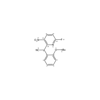 CCCCOc1ccccc1C(C#N)c1nc(F)ccc1[N+](=O)[O-]